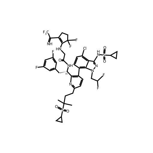 CC(C)(CCc1ccc(-c2ccc(Cl)c3c(NS(=O)(=O)C4CC4)nn(CC(F)F)c23)c([C@H](Cc2cc(F)cc(F)c2)NC(=O)CNC2=C(C(=N)C(F)(F)F)CCC2(F)F)n1)S(=O)(=O)C1CC1